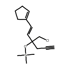 C#CCC(C=CC1=CCCC1)(CCl)O[Si](C)(C)C